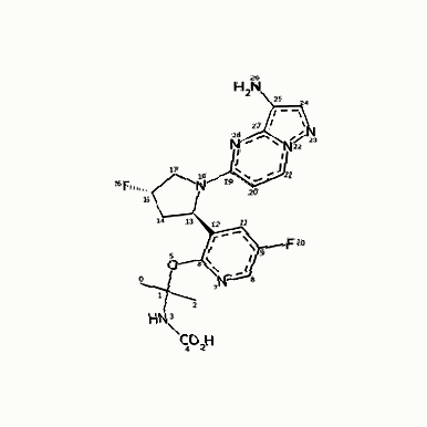 CC(C)(NC(=O)O)Oc1ncc(F)cc1[C@H]1C[C@H](F)CN1c1ccn2ncc(N)c2n1